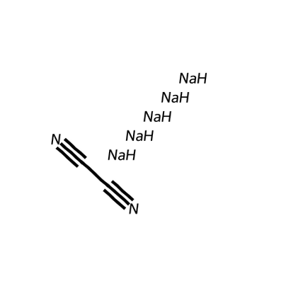 N#CC#N.[NaH].[NaH].[NaH].[NaH].[NaH]